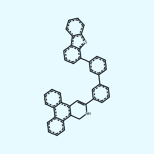 C1=C(c2cccc(-c3cccc(-c4cccc5c4sc4ccccc45)c3)c2)NCc2c1c1ccccc1c1ccccc21